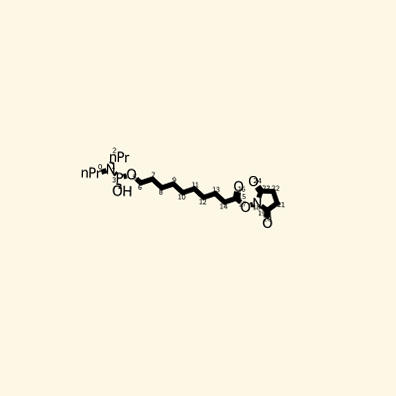 CCCN(CCC)P(O)OCCCCCCCCCC(=O)ON1C(=O)CCC1=O